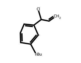 C=CC(Cl)c1[c]c(CCCC)ccc1